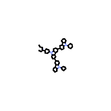 C=C/C=C(\C=C)c1ccc(-n2c3ccc(-c4ccc5c(c4)c4ccccc4n5-c4ccccc4)cc3c3cc(-c4ccc5c(c4)c4ccccc4n5-c4ccccc4)ccc32)cc1